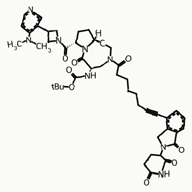 CN(C)c1ccncc1C1CN(C(=O)[C@@H]2CC[C@@H]3CCN(C(=O)CCCCCC#Cc4cccc5c4CN(C4CCC(=O)NC4=O)C5=O)C[C@H](NC(=O)OC(C)(C)C)C(=O)N32)C1